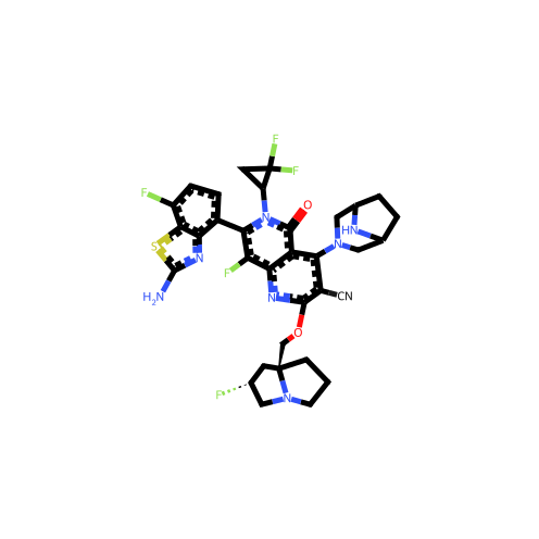 N#Cc1c(OC[C@@]23CCCN2C[C@H](F)C3)nc2c(F)c(-c3ccc(F)c4sc(N)nc34)n(C3CC3(F)F)c(=O)c2c1N1CC2CCC(C1)N2